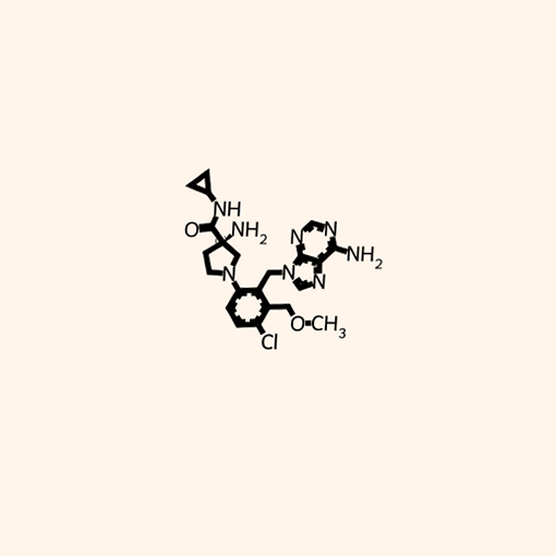 COCc1c(Cl)ccc(N2CC[C@](N)(C(=O)NC3CC3)C2)c1Cn1cnc2c(N)ncnc21